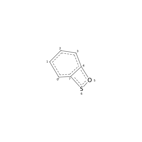 [c]1cccc2osc12